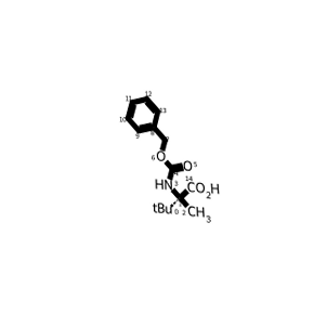 CC(C)(C)[C@](C)(NC(=O)OCc1ccccc1)C(=O)O